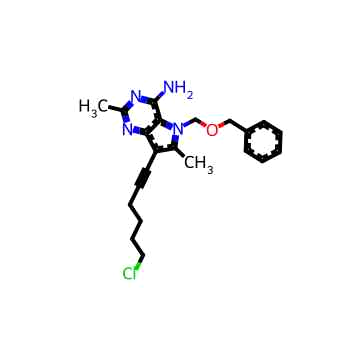 Cc1nc(N)c2c(n1)c(C#CCCCCCl)c(C)n2COCc1ccccc1